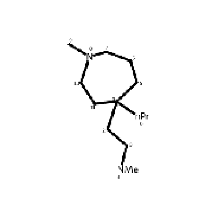 CCCC1(CCNC)CCCN(C)CC1